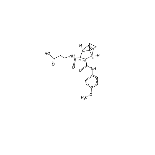 COc1ccc(NC(=O)[C@H]2[C@H](C(=O)NCCC(=O)O)[C@H]3C=C[C@@H]2C32CC2)cc1